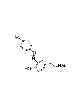 CNCCc1ccc(O)c(/N=N/c2ccc(C(C)=O)cc2)c1